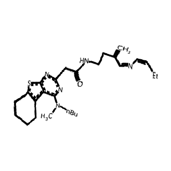 C=C(/C=N\C=C/CC)CCNC(=O)Cc1nc(N(C)CCCC)c2c3c(sc2n1)CCCC3